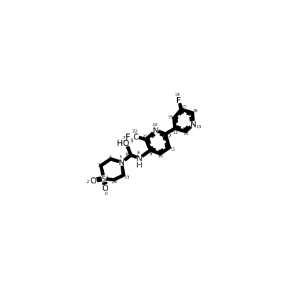 O=S1(=O)CCN(C(O)Nc2ccc(-c3cncc(F)c3)nc2C(F)(F)F)CC1